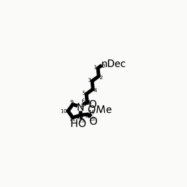 CCCCCCCCCCCCCCCC(=O)N1CCC[C@@]1(O)C(=O)OC